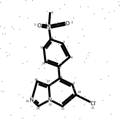 CS(=O)(=O)c1ccc(-c2cc(Cl)cn3cncc23)cc1